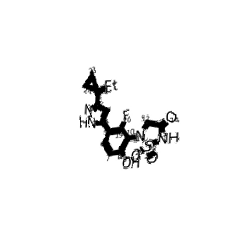 CCC1(c2cc(-c3ccc(O)c(N4CC(=O)NS4(=O)=O)c3F)[nH]n2)CC1